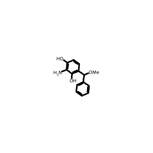 COC(c1ccccc1)c1ccc(O)c(N)c1O